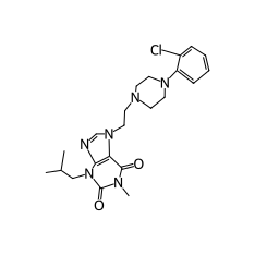 CC(C)Cn1c(=O)n(C)c(=O)c2c1ncn2CCN1CCN(c2ccccc2Cl)CC1